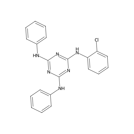 Clc1ccccc1Nc1nc(Nc2ccccc2)nc(Nc2ccccc2)n1